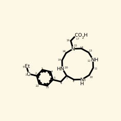 CCOc1ccc(CC2CNCCNCCN(CC(=O)O)CCN2)cc1